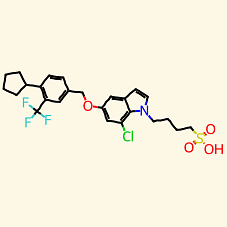 O=S(=O)(O)CCCCn1ccc2cc(OCc3ccc(C4CCCC4)c(C(F)(F)F)c3)cc(Cl)c21